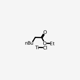 CCCCCC(=O)OCC.[Cl][Ti]